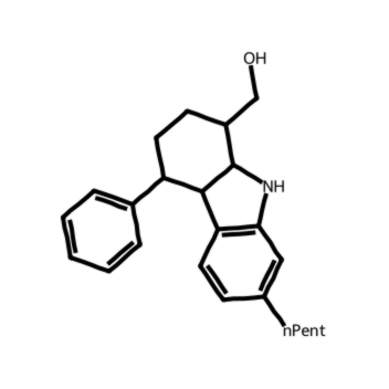 CCCCCc1ccc2c(c1)NC1C(CO)CCC(c3ccccc3)C21